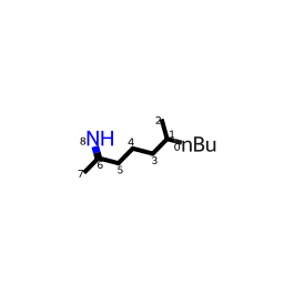 CCCCC(C)CCCC(C)=N